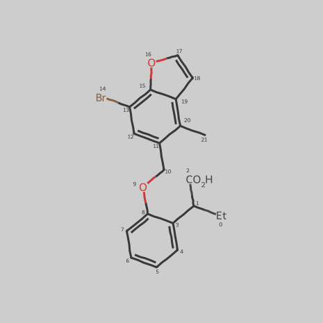 CCC(C(=O)O)c1ccccc1OCc1cc(Br)c2occc2c1C